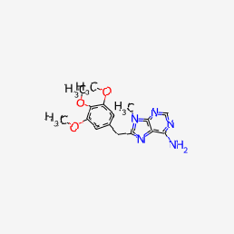 COc1cc(Cc2nc3c(N)ncnc3n2C)cc(OC)c1OC